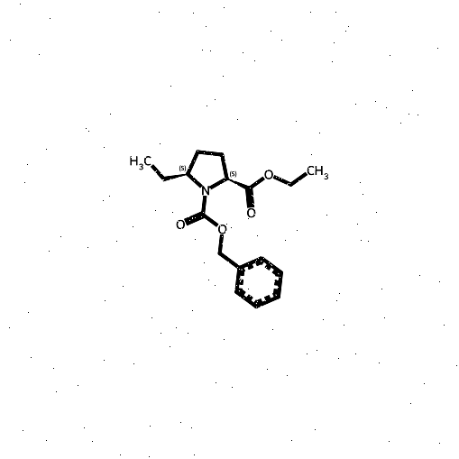 CCOC(=O)[C@@H]1CC[C@H](CC)N1C(=O)OCc1ccccc1